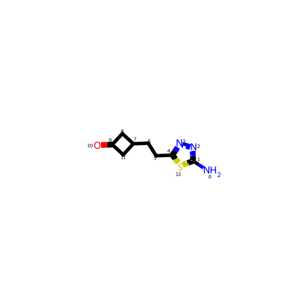 Nc1nnc(CCC2CC(=O)C2)s1